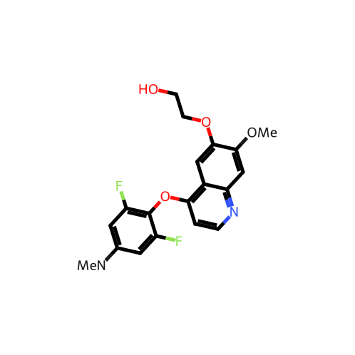 CNc1cc(F)c(Oc2ccnc3cc(OC)c(OCCO)cc23)c(F)c1